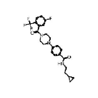 O=C(NCCC1CC1)c1ccc(N2CCN(C(=O)c3cc(F)ccc3C(F)(F)F)CC2)cc1